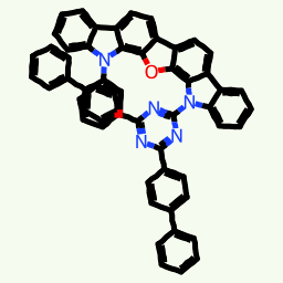 c1ccc(-c2ccc(-c3nc(-c4ccccc4)nc(-n4c5ccccc5c5ccc6c7ccc8c9ccccc9n(-c9ccccc9-c9ccccc9)c8c7oc6c54)n3)cc2)cc1